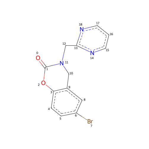 O=C1Oc2ccc(Br)cc2CN1Cc1ncccn1